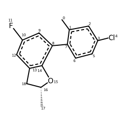 Cc1cc(Cl)ccc1-c1cc(F)cc2c1O[C@H](C)C2